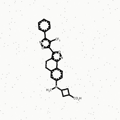 CN(c1ccc2c(c1)CCc1c-2noc1-c1onc(-c2ccccc2)c1C(F)(F)F)C1CC(C(=O)O)C1